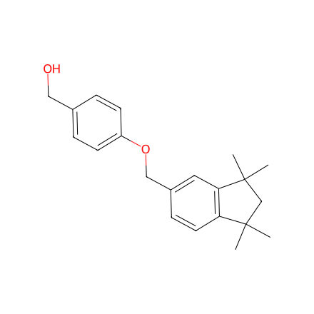 CC1(C)CC(C)(C)c2cc(COc3ccc(CO)cc3)ccc21